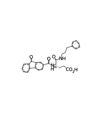 O=C(O)CC[C@H](NC(=O)c1ccc2c(c1)C(=O)c1ccccc1-2)C(=O)NCCCc1ccccc1